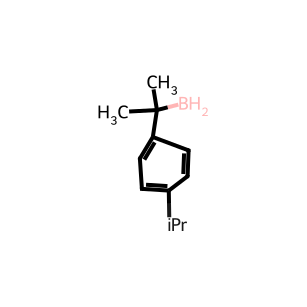 BC(C)(C)c1ccc(C(C)C)cc1